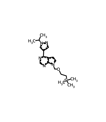 CC(C)n1cc(-c2ncnc3c2ccn3COCC[Si](C)(C)C)cn1